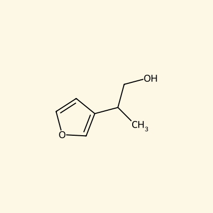 CC(CO)c1ccoc1